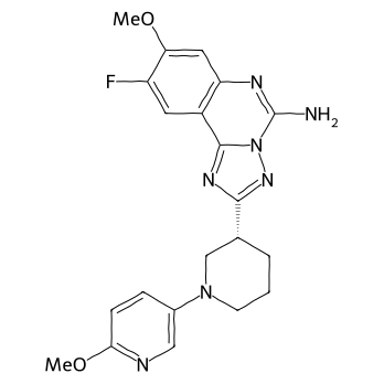 COc1ccc(N2CCC[C@@H](c3nc4c5cc(F)c(OC)cc5nc(N)n4n3)C2)cn1